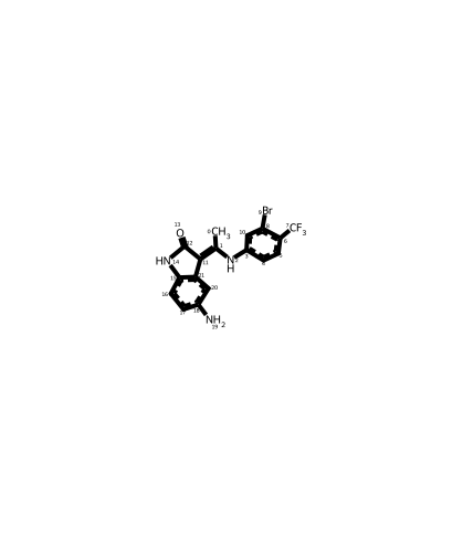 CC(Nc1ccc(C(F)(F)F)c(Br)c1)=C1C(=O)Nc2ccc(N)cc21